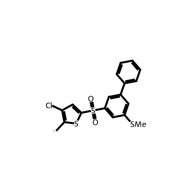 [CH2]c1sc(S(=O)(=O)c2cc(SC)cc(-c3ccccc3)c2)cc1Cl